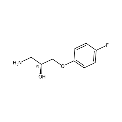 NC[C@H](O)COc1ccc(F)cc1